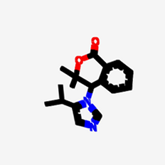 CC(C)c1cncn1C1c2ccccc2C(=O)OC1(C)C